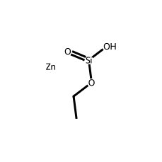 CCO[Si](=O)O.[Zn]